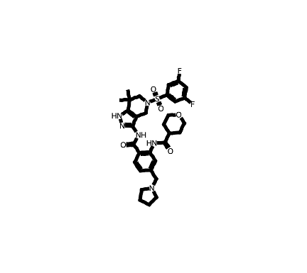 CC1(C)CN(S(=O)(=O)c2cc(F)cc(F)c2)Cc2c(NC(=O)c3ccc(CN4CCCC4)cc3NC(=O)C3CCOCC3)n[nH]c21